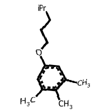 Cc1cc(OCCCC(C)C)cc(C)c1C